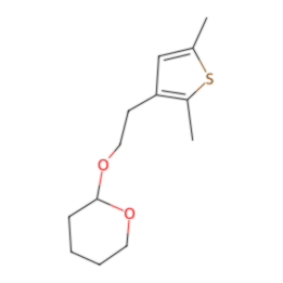 Cc1cc(CCOC2CCCCO2)c(C)s1